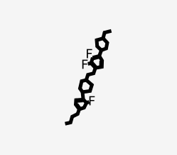 CCCCC1=CC=C(C2CCC(CCc3ccc(C4CCC(CC)CC4)c(F)c3F)CC2)C(F)C1